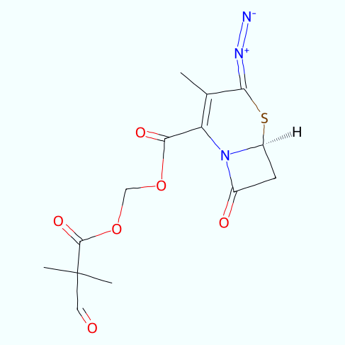 CC1=C(C(=O)OCOC(=O)C(C)(C)C=O)N2C(=O)C[C@@H]2SC1=[N+]=[N-]